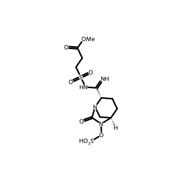 COC(=O)CCS(=O)(=O)NC(=N)[C@@H]1CC[C@@H]2CN1C(=O)N2OS(=O)(=O)O